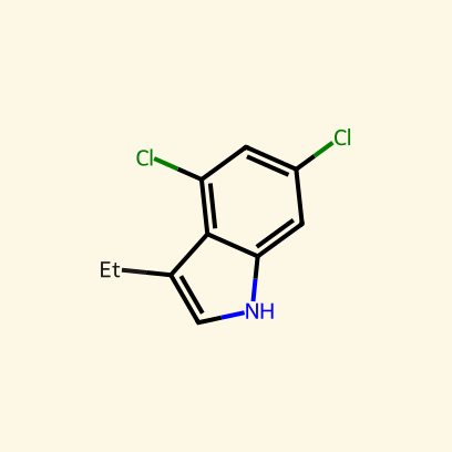 [CH2]Cc1c[nH]c2cc(Cl)cc(Cl)c12